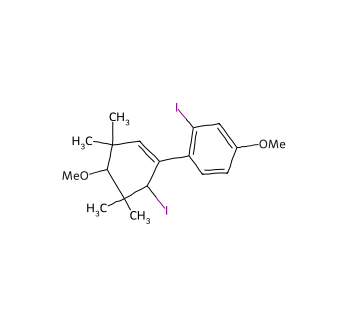 COc1ccc(C2=CC(C)(C)C(OC)C(C)(C)C2I)c(I)c1